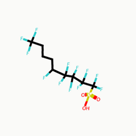 O=S(=O)(O)C(F)(F)C(F)(F)C(F)(F)C(F)(F)C(F)CCCC(F)(F)F